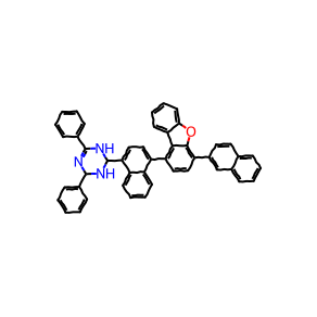 c1ccc(C2=NC(c3ccccc3)NC(c3ccc(-c4ccc(-c5ccc6ccccc6c5)c5oc6ccccc6c45)c4ccccc34)N2)cc1